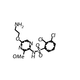 COc1nc(OCCN)cnc1NS(=O)(=O)c1cccc(Cl)c1Cl